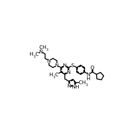 Cc1cc(Cc2nc(Sc3ccc(NC(=O)C4CCCC4)cc3)nc(N3CCN(CCN(C)C)CC3)c2C)n[nH]1